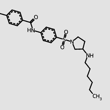 CCCCCCNC1CCN(S(=O)(=O)c2ccc(NC(=O)c3ccc(Cl)cc3)cc2)C1